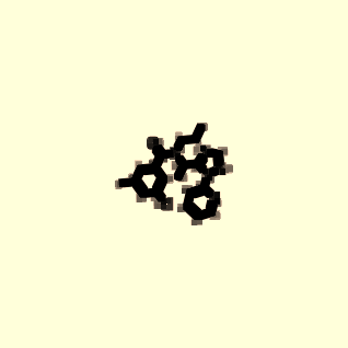 CCCN(C(=O)c1cc(C)cc(Cl)c1)C(C)c1ncnn1-c1ccccn1